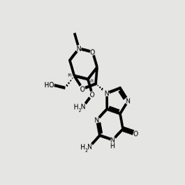 CN1C[C@]2(CO)O[C@@H](n3cnc4c(=O)[nH]c(N)nc43)C(O1)C2ON